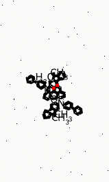 CC1(C)c2ccccc2-c2ccc(N(c3ccc(-c4ccccc4)cc3)c3cccc4c3-c3cccc5ccc(N(c6ccc(-c7ccccc7)cc6)c6ccc7c(c6)C(C)(C)c6ccccc6-7)c(c35)O4)cc21